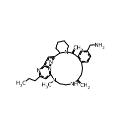 C=C1CCc2ccc(CN)cc2C(=C)N2CCCCC2c2cc3nc(CCC)cc(n3n2)N(C)CCN1